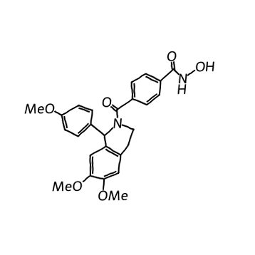 COc1ccc(C2c3cc(OC)c(OC)cc3CCN2C(=O)c2ccc(C(=O)NO)cc2)cc1